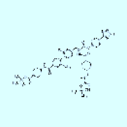 Cc1cc(C(=O)NC2CCN(C(=O)OC(C)(C)C)CC2)ccc1-c1ccc(C[C@H](NC(=O)C2CCC(CNC(=O)OC(C)(C)C)CC2)C(=O)Nc2ccc(-c3nn[nH]n3)cc2)cc1F